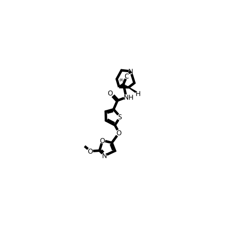 COc1ncc(Oc2ccc(C(=O)N[C@H]3CN4CCC3CC4)s2)o1